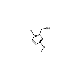 COc1ccc(Cl)c(C[NH])c1